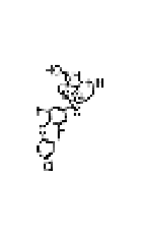 O=C(NO)C12CCC(CNC1)N2S(=O)(=O)c1cc(F)c(Oc2ccc(Cl)cc2)c(F)c1